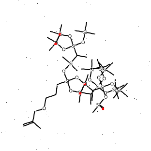 C=C(C)COCCC[Si](O[Si](C)(C)C(C)[Si](O[Si](C)(C)C)(O[Si](C)(C)C)O[Si](C)(C)C)(O[Si](C)(C)C(C)[Si](O[Si](C)(C)C)(O[Si](C)(C)C)O[Si](C)(C)C)O[Si](C)(C)C(C)[Si](O[Si](C)(C)C)(O[Si](C)(C)C)O[Si](C)(C)C